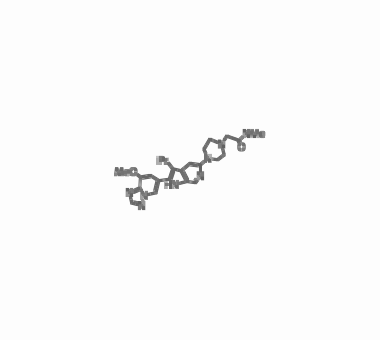 CNC(=O)CN1CCN(c2cc3c(C(C)C)c(-c4cc(OC)c5ncnn5c4)[nH]c3cn2)CC1